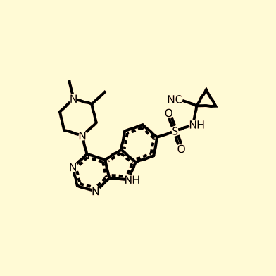 CC1CN(c2ncnc3[nH]c4cc(S(=O)(=O)NC5(C#N)CC5)ccc4c23)CCN1C